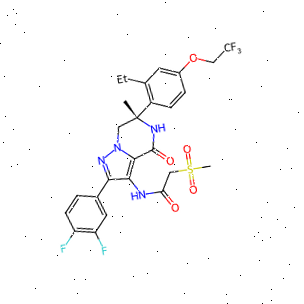 CCc1cc(OCC(F)(F)F)ccc1[C@@]1(C)Cn2nc(-c3ccc(F)c(F)c3)c(NC(=O)CS(C)(=O)=O)c2C(=O)N1